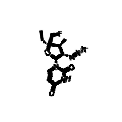 CC[C@@]1(CF)O[C@@H](n2ccc(=O)[nH]c2=O)[C@@H](N=[N+]=[N-])[C@@H]1C